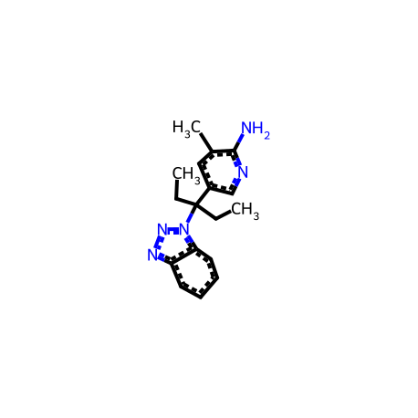 CCC(CC)(c1cnc(N)c(C)c1)n1nnc2ccccc21